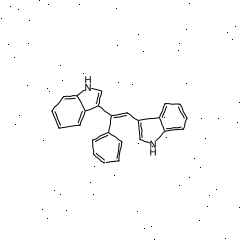 C(=C(c1ccccc1)c1c[nH]c2ccccc12)c1c[nH]c2ccccc12